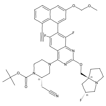 C#Cc1cccc2cc(OCOC)cc(-c3c(F)cc4c(N5CCN(C(=O)OC(C)(C)C)[C@@H](CC#N)C5)nc(OC[C@@]56CCCN5C[C@H](F)C6)nc4c3F)c12